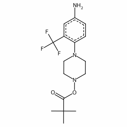 CC(C)(C)C(=O)ON1CCN(c2ccc(N)cc2C(F)(F)F)CC1